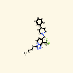 CCCCc1nnc2c(C(F)(F)F)c(CN3CCC(c4ccccc4)CC3)ccn12